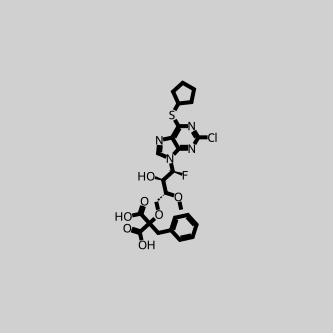 CO[C@H](COC(Cc1ccccc1)(C(=O)O)C(=O)O)[C@@H](O)[C@H](F)n1cnc2c(SC3CCCC3)nc(Cl)nc21